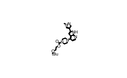 Cn1cc(-c2cc3c(N4CCN(C(=O)OCCOC(C)(C)C)CC4)ccnc3[nH]2)cn1